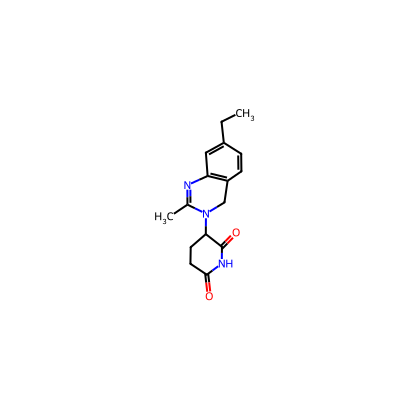 CCc1ccc2c(c1)N=C(C)N(C1CCC(=O)NC1=O)C2